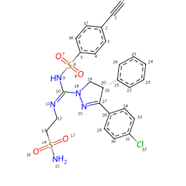 C#Cc1ccc(S(=O)(=O)NC(=NCCS(N)(=O)=O)N2C[C@H](c3ccccc3)C(c3ccc(Cl)cc3)=N2)cc1